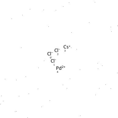 [Cl-].[Cl-].[Cl-].[Cs+].[Pd+2]